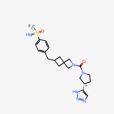 N=S(=O)(c1ccc(CC2CC3(C2)CN(C(=O)N2CC[C@H](c4cnn[nH]4)C2)C3)cc1)C(F)(F)F